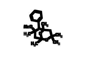 COC1(C)CC2(C)OC(C)(C)CC(C)(O2)P1c1ccccc1